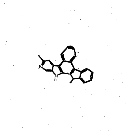 Cc1cc2c(cn1)[nH]c1c3c(c4ccccc4c12)-c1ccccc1C3C